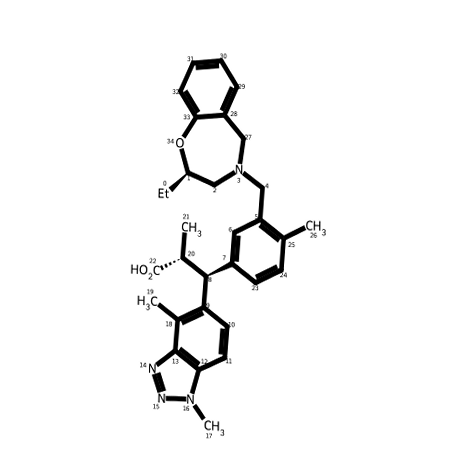 CC[C@@H]1CN(Cc2cc([C@@H](c3ccc4c(nnn4C)c3C)[C@@H](C)C(=O)O)ccc2C)Cc2ccccc2O1